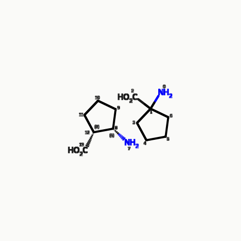 NC1(C(=O)O)CCCC1.N[C@H]1CCC[C@H]1C(=O)O